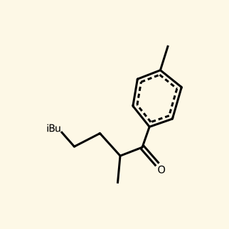 CCC(C)CCC(C)C(=O)c1ccc(C)cc1